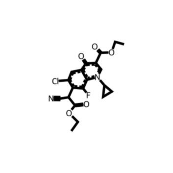 CCOC(=O)c1cn(C2CC2)c2c(F)c(C(C#N)C(=O)OCC)c(Cl)cc2c1=O